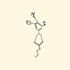 CCCCC1CCC(c2cc(F)c(C#N)c(Cl)c2)CC1